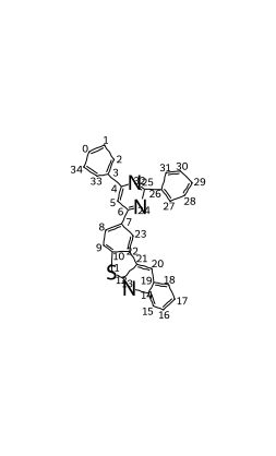 c1ccc(-c2cc(-c3ccc4sc5nc6ccccc6cc5c4c3)nc(-c3ccccc3)n2)cc1